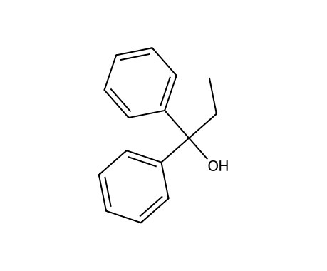 CCC(O)(c1ccccc1)c1ccccc1